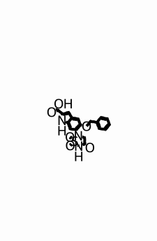 O=C1CN(c2cc3[nH]c(C(=O)O)cc3cc2OCc2ccccc2)S(=O)(=O)N1